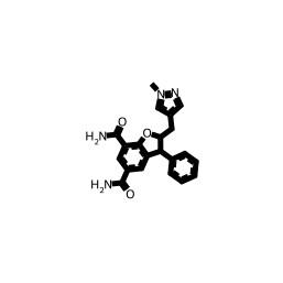 Cn1cc(CC2Oc3c(C(N)=O)cc(C(N)=O)cc3C2c2ccccc2)cn1